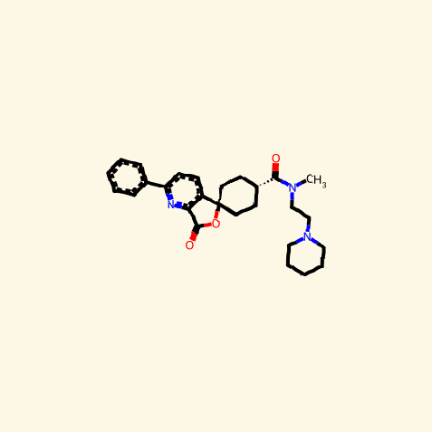 CN(CCN1CCCCC1)C(=O)[C@H]1CC[C@@]2(CC1)OC(=O)c1nc(-c3ccccc3)ccc12